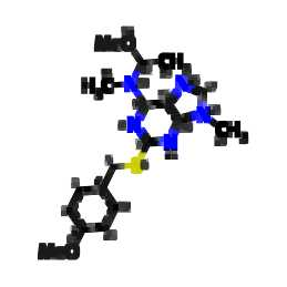 COc1ccc(CSc2nc(N(C)C(C)OC)c3ncn(C)c3n2)cc1